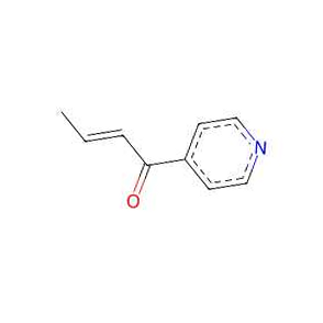 CC=CC(=O)c1ccncc1